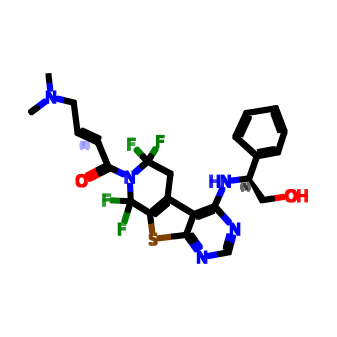 CN(C)C/C=C/C(=O)N1C(F)(F)Cc2c(sc3ncnc(N[C@H](CO)c4ccccc4)c23)C1(F)F